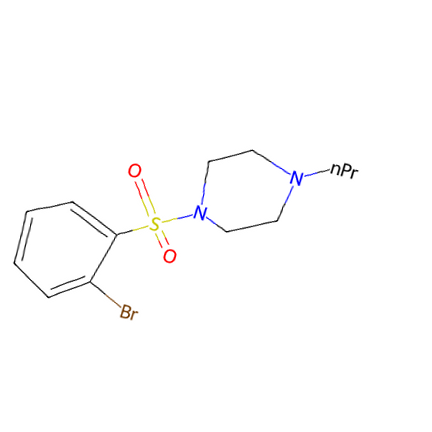 CCCN1CCN(S(=O)(=O)c2ccccc2Br)CC1